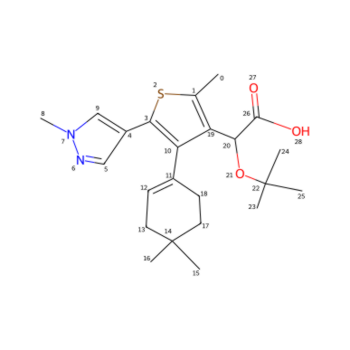 Cc1sc(-c2cnn(C)c2)c(C2=CCC(C)(C)CC2)c1C(OC(C)(C)C)C(=O)O